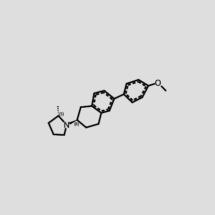 COc1ccc(-c2ccc3c(c2)CC[C@@H](N2CCC[C@@H]2C)C3)cc1